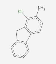 Cc1ccc2c(c1Cl)Cc1ccccc1-2